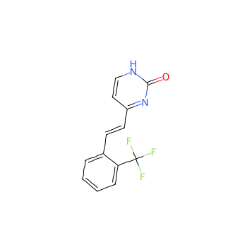 O=c1nc(/C=C/c2ccccc2C(F)(F)F)cc[nH]1